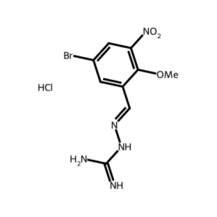 COc1c(C=NNC(=N)N)cc(Br)cc1[N+](=O)[O-].Cl